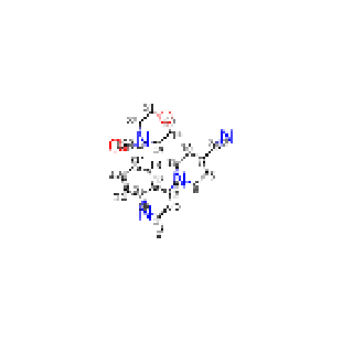 Cc1cc(N2CCC(C#N)CC2)c2cc(C(=O)N3CCOCC3)ccc2n1